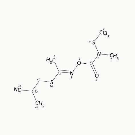 C/C(=N\OC(=O)N(C)SC(Cl)(Cl)Cl)SCC(C)C#N